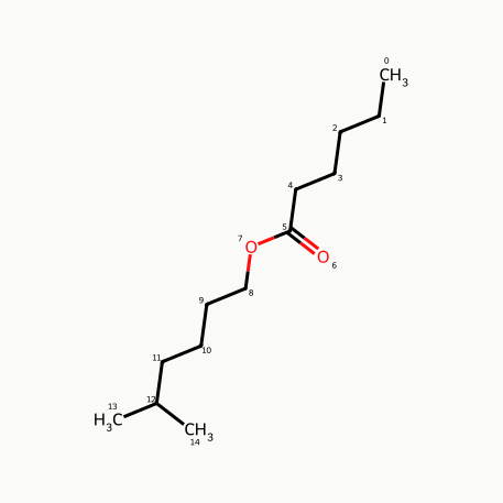 CCCCCC(=O)OCCCCC(C)C